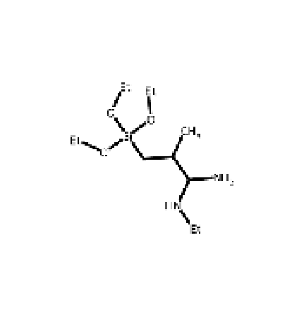 CCNC(N)C(C)C[Si](OCC)(OCC)OCC